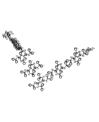 O.O.O=C([O-])CN(CCN(CC(=O)[O-])CC(=O)[O-])CC(=O)[O-].O=C([O-])CN(CCN(CC(=O)[O-])CC(=O)[O-])CC(=O)[O-].O=C([O-])CN(CCN(CC(=O)[O-])CC(=O)[O-])CC(=O)[O-].O=C([O-])CN(CCN(CC(=O)[O-])CC(=O)[O-])CC(=O)[O-].O=C([O-])CN(CCN(CC(=O)[O-])CC(=O)[O-])CC(=O)[O-].[Fe+3].[Fe+3].[Fe+3].[Fe+3].[NH4+].[NH4+].[NH4+].[NH4+].[NH4+].[NH4+].[NH4+].[NH4+]